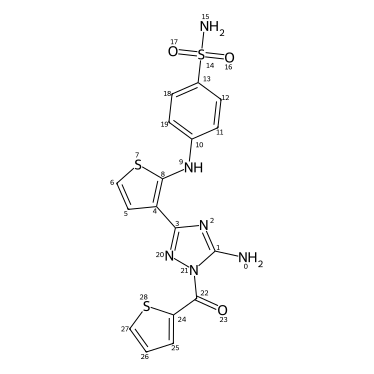 Nc1nc(-c2ccsc2Nc2ccc(S(N)(=O)=O)cc2)nn1C(=O)c1cccs1